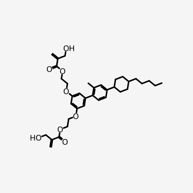 C=C(CO)C(=O)OCCOc1cc(OCCOC(=O)C(=C)CO)cc(-c2ccc(C3CCC(CCCCC)CC3)cc2C)c1